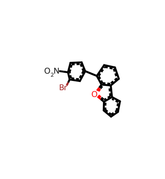 O=[N+]([O-])c1ccc(-c2cccc3c2oc2ccccc23)cc1Br